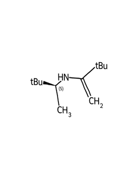 C=C(N[C@@H](C)C(C)(C)C)C(C)(C)C